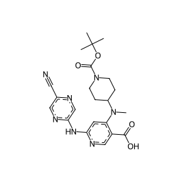 CN(c1cc(Nc2cnc(C#N)cn2)ncc1C(=O)O)C1CCN(C(=O)OC(C)(C)C)CC1